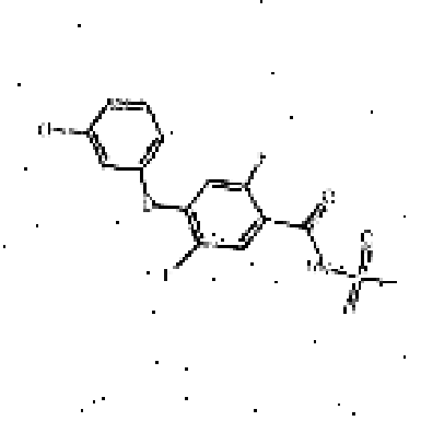 CS(=O)(=O)NC(=O)c1cc(F)c(Oc2cccc(Cl)c2)cc1F